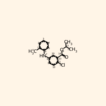 Cc1ccccc1Nc1ccc(Cl)c(C(=O)OC(C)C)c1